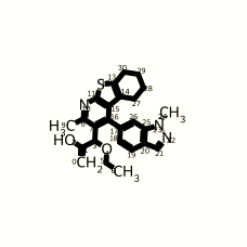 C=C(O)C(OCC)c1c(C)nc2sc3c(c2c1-c1ccc2cnn(C)c2c1)CCCC3